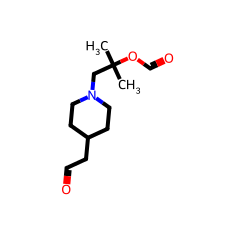 CC(C)(CN1CCC(CC=O)CC1)OC=O